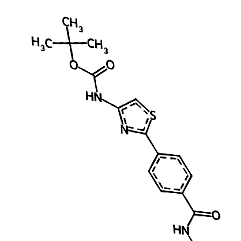 CNC(=O)c1ccc(-c2nc(NC(=O)OC(C)(C)C)cs2)cc1